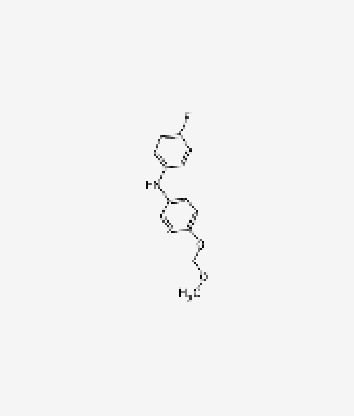 COCOc1[c]cc(Nc2ccc(F)cc2)cc1